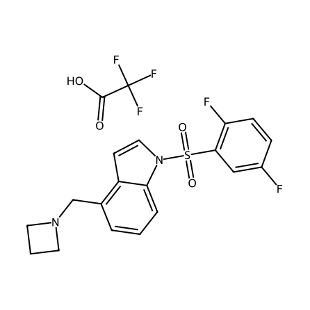 O=C(O)C(F)(F)F.O=S(=O)(c1cc(F)ccc1F)n1ccc2c(CN3CCC3)cccc21